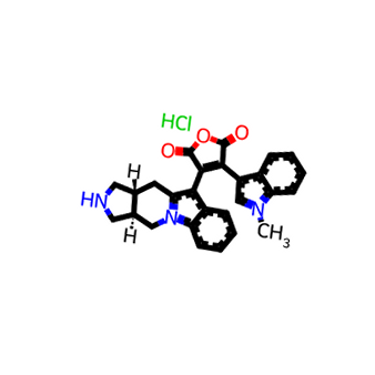 Cl.Cn1cc(C2=C(c3c4n(c5ccccc35)C[C@H]3CNC[C@@H]3C4)C(=O)OC2=O)c2ccccc21